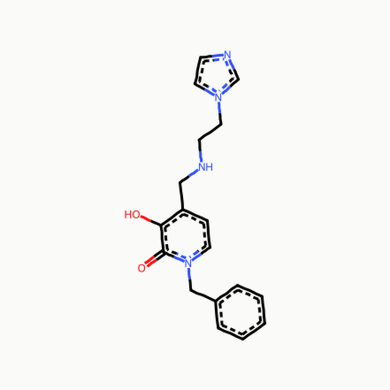 O=c1c(O)c(CNCCn2ccnc2)ccn1Cc1ccccc1